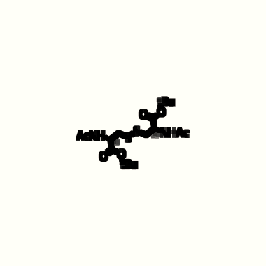 CC(=O)N[C@@H](CSSC[C@H](NC(C)=O)C(=O)OC(C)(C)C)C(=O)OC(C)(C)C